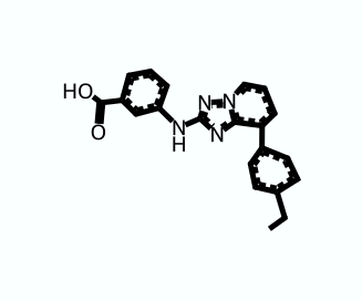 CCc1ccc(-c2cccn3nc(Nc4cccc(C(=O)O)c4)nc23)cc1